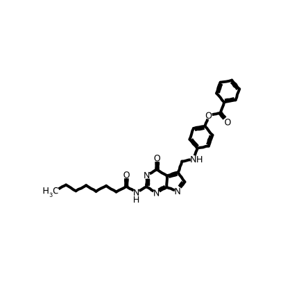 CCCCCCCC(=O)NC1=NC(=O)C2=C(CNc3ccc(OC(=O)c4ccccc4)cc3)C=NC2=N1